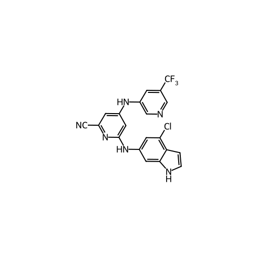 N#Cc1cc(Nc2cncc(C(F)(F)F)c2)cc(Nc2cc(Cl)c3cc[nH]c3c2)n1